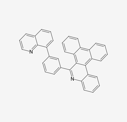 c1cc(-c2cccc3cccnc23)cc(-c2nc3ccccc3c3c4ccccc4c4ccccc4c23)c1